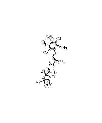 C/C(=C\Cc1c(O)c(Cl)c(C)c(/C=N\O)c1O)CC/C=C(\C)C1(O)OC(C)(C)C(=O)C1O